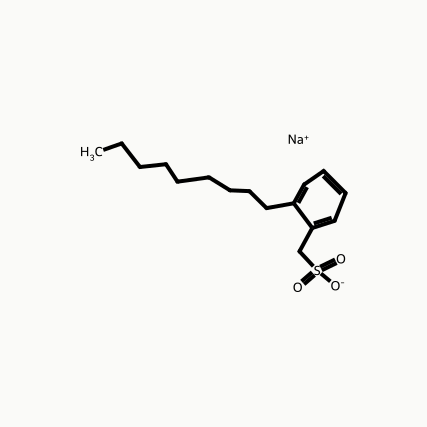 CCCCCCCCCc1ccccc1CS(=O)(=O)[O-].[Na+]